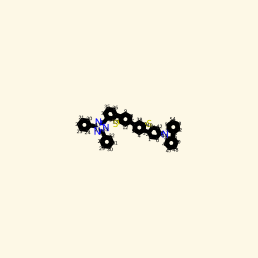 C1=CC2c3ccc(-c4ccc5c(c4)sc4c(-c6nc(-c7ccccc7)nc(-c7ccccc7)n6)cccc45)cc3SC2C=C1n1c2ccccc2c2ccccc21